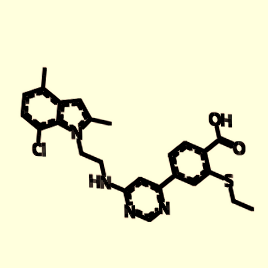 CCSc1cc(-c2cc(NCCn3c(C)cc4c(C)ccc(Cl)c43)ncn2)ccc1C(=O)O